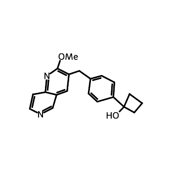 COc1nc2ccncc2cc1Cc1ccc(C2(O)CCC2)cc1